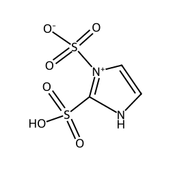 O=S(=O)(O)c1[nH]cc[n+]1S(=O)(=O)[O-]